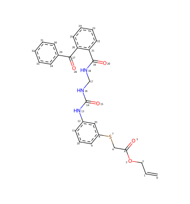 C=CCOC(=O)CSc1cccc(NC(=O)NCNC(=O)c2ccccc2C(=O)c2ccccc2)c1